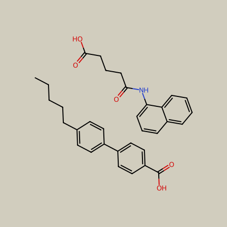 CCCCCc1ccc(-c2ccc(C(=O)O)cc2)cc1.O=C(O)CCCC(=O)Nc1cccc2ccccc12